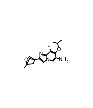 CC(C)Oc1c(N)cn2cc(C34COC(C)(C3)C4)nc2c1F